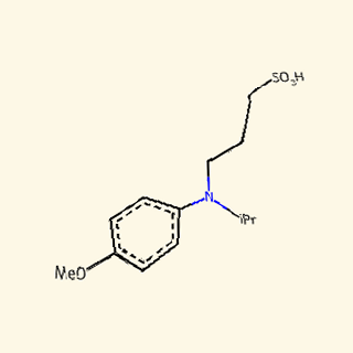 COc1ccc(N(CCCS(=O)(=O)O)C(C)C)cc1